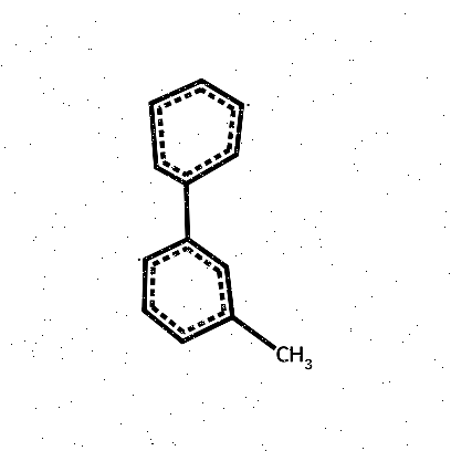 Cc1cc[c]c(-c2c[c]ccc2)c1